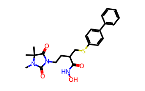 CN1C(=O)N(CCC(CSc2ccc(-c3ccccc3)cc2)C(=O)NO)C(=O)C1(C)C